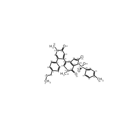 CSCc1ccc(-c2cn(C)c(=O)cc2-c2cn(C)c(=O)c3c2cc(Cl)n3S(=O)(=O)c2ccc(C)cc2)cc1